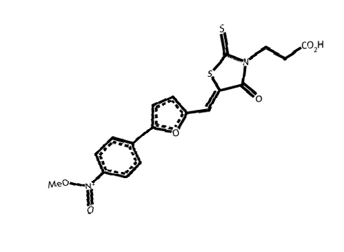 CO[N+](=O)c1ccc(-c2ccc(/C=C3\SC(=S)N(CCC(=O)O)C3=O)o2)cc1